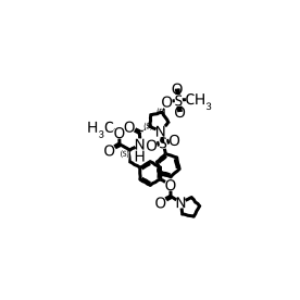 COC(=O)[C@H](Cc1ccc(OC(=O)N2CCCC2)cc1)NC(=O)[C@@H]1C[C@H](OS(C)(=O)=O)CN1S(=O)(=O)c1ccccc1